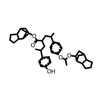 CC(Oc1ccc(C(C)CC(CC(C)c2ccc(O)cc2)C(=O)OC2CC3CC2C2CCCC32)cc1)OC1CC2CC1C1CCCC21